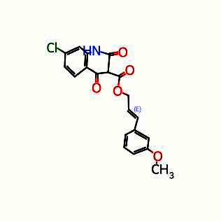 COc1cccc(/C=C/COC(=O)C2C(=O)Nc3cc(Cl)ccc3C2=O)c1